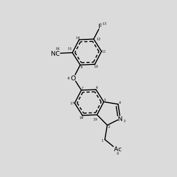 CC(=O)CC1N=Cc2cc(Oc3ccc(F)cc3C#N)ccc21